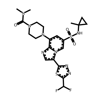 CN(C)C(=O)N1CCN(c2cc(S(=O)(=O)NC3(C)CC3)cn3c(-c4nnc(C(F)F)s4)cnc23)CC1